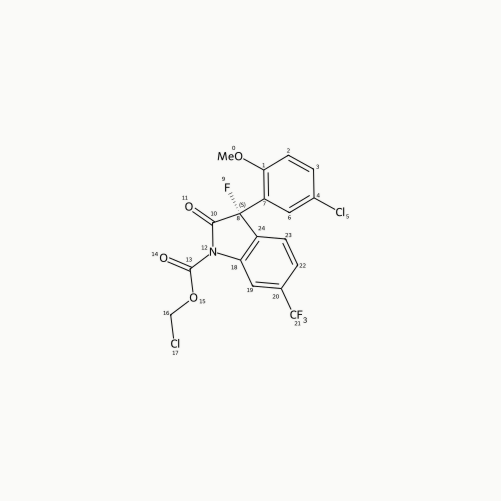 COc1ccc(Cl)cc1[C@]1(F)C(=O)N(C(=O)OCCl)c2cc(C(F)(F)F)ccc21